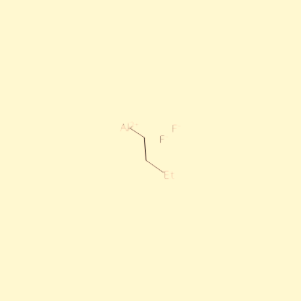 CCC[CH2][Al+2].[F-].[F-]